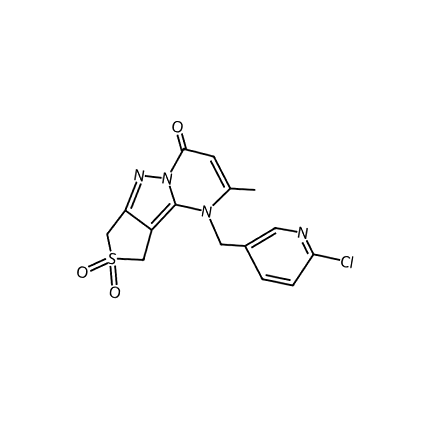 Cc1cc(=O)n2nc3c(c2n1Cc1ccc(Cl)nc1)CS(=O)(=O)C3